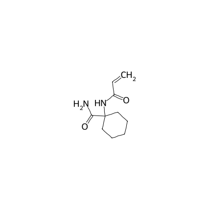 C=CC(=O)NC1(C(N)=O)CCCCC1